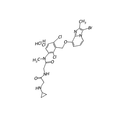 Cc1nc2c(OCc3c(Cl)ccc(N(C)C(=O)CNC(=O)CNC4CC4)c3Cl)cccn2c1Br.Cl.Cl